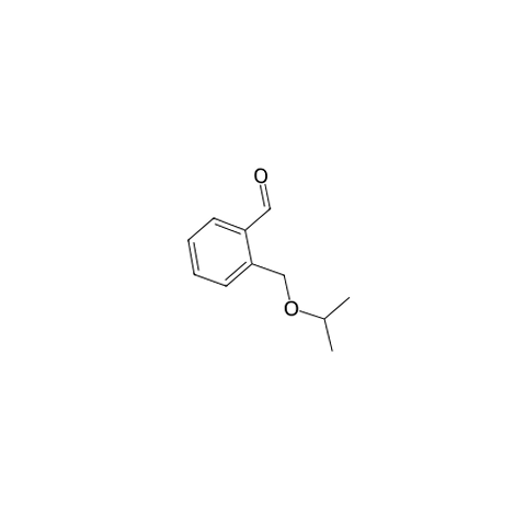 CC(C)OCc1ccccc1C=O